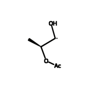 CC(=O)O[C@@H](C)[CH]O